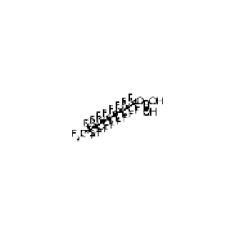 OB(O)OC(F)(F)C(F)(F)C(F)(F)C(F)(F)C(F)(F)C(F)(F)C(F)(F)C(F)(F)C(F)(F)F